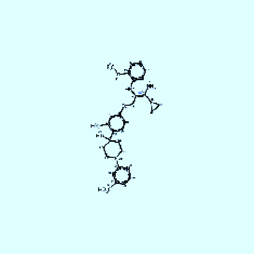 Cc1cc(OC/C(Nc2ccccc2OC(F)(F)F)=C(/N)C2CC2)ccc1C1(O)CCN(c2cc(C(=O)O)ccn2)CC1